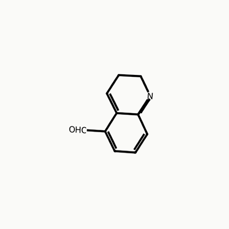 O=CC1=CC=CC23CCCCN2CCC=C13